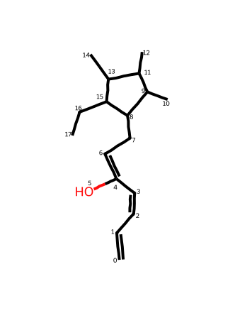 C=C/C=C\C(O)=C/CC1C(C)C(C)C(C)C1CC